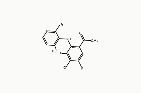 COC(=O)c1cc(F)c(Cl)c(F)c1Nc1c(C)ccnc1C(C)C